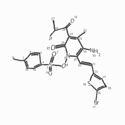 Cc1ccc(S(=O)(=O)On2c(C=Cc3ccc(Br)s3)c(N)c(C)c(C(=O)C(C)C)c2=O)cc1